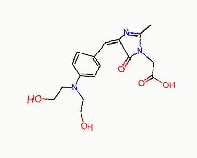 CC1=N/C(=C/c2ccc(N(CCO)CCO)cc2)C(=O)N1CC(=O)O